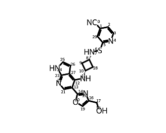 N#Cc1ccnc(SN[C@H]2C[C@@H](Nc3c(-c4nc(CO)co4)cnc4[nH]ccc34)C2)c1